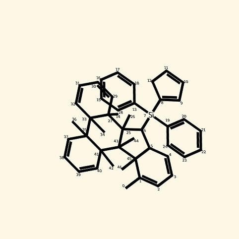 CC1=CC=CC2C([Si](C3=CC=CC3)(c3ccccc3)c3ccccc3)C3(C)C4(C)C=CC=CC4(C)C4(C)C=CC=CC4(C)C3(C)C12C